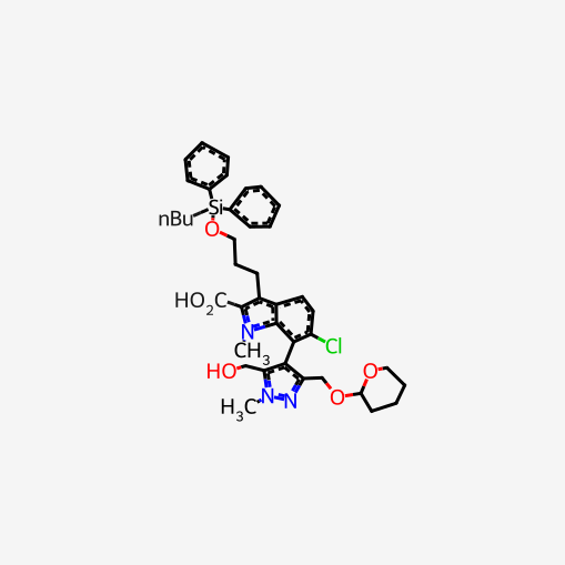 CCCC[Si](OCCCc1c(C(=O)O)n(C)c2c(-c3c(COC4CCCCO4)nn(C)c3CO)c(Cl)ccc12)(c1ccccc1)c1ccccc1